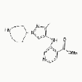 COC(=O)c1ccncc1Nc1cn([C@@H]2CCCNCC2)nc1C